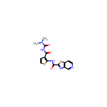 CN(C)C(=O)NC(=O)c1ccsc1NC(=O)c1nc2cnccc2s1